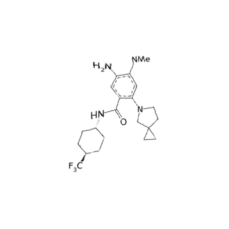 CNc1cc(N2CCC3(CC3)C2)c(C(=O)N[C@H]2CC[C@H](C(F)(F)F)CC2)cc1N